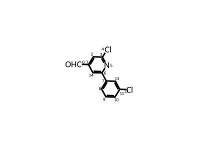 O=Cc1cc(Cl)nc(-c2cccc(Cl)c2)c1